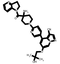 CC(C)(O)COc1cc(-c2ccc(N3CCC(N)(C(=O)N4CCc5ncccc54)CC3)nc2)c2c(C#N)cnn2c1